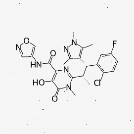 Cc1nn(C)c(C)c1[C@H](c1cc(F)ccc1Cl)[C@H](C)c1nc(C(=O)Nc2cnoc2)c(O)c(=O)n1C